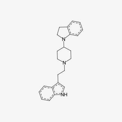 c1ccc2c(c1)CCN2C1CCN(CCc2c[nH]c3ccccc23)CC1